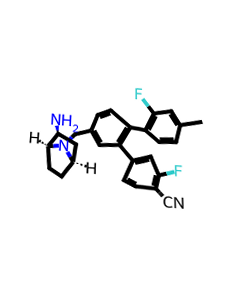 Cc1ccc(-c2ccc(CN3[C@@H]4CC[C@H]3[C@@H](N)C4)cc2-c2ccc(C#N)c(F)c2)c(F)c1